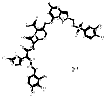 CC1=NC2=CN(CNS(=O)(=O)c3ccc(O)c(O)c3)NN2C(SCC2=C(C(=O)O)N3C(=O)C(NC(=O)C(=NOCc4ccc(O)c(O)c4F)c4csc(N)n4)C3SC2)=C1.[NaH]